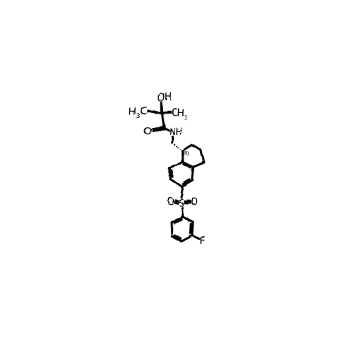 CC(C)(O)C(=O)NC[C@@H]1CCCc2cc(S(=O)(=O)c3cccc(F)c3)ccc21